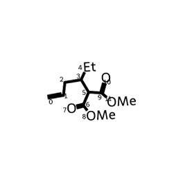 C=CCC(CC)C(C(=O)OC)C(=O)OC